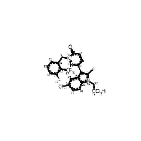 Cc1c(-c2ccc(=O)n(Cc3cccc(F)c3C(F)(F)F)n2)c2cc(Cl)ccc2n1CC(=O)O